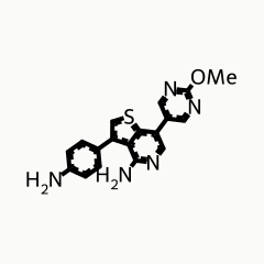 COc1ncc(-c2cnc(N)c3c(-c4ccc(N)cc4)csc23)cn1